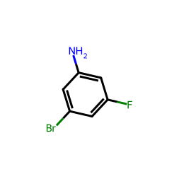 Nc1cc(F)cc(Br)c1